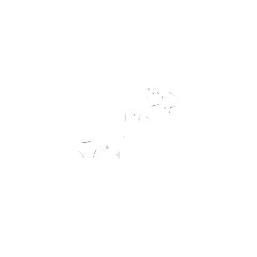 Cc1cnc2c(C(=O)NCCOC[C@@H](O)c3ccc(C(F)(F)F)cc3F)cnn2c1